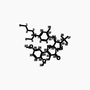 CCCCN(CC)c1ccc(/N=C2/C(C(C)(C)C)=Nn3c2nc(-c2cc(OC)ccc2OC)c(C)c3=O)c(C)c1